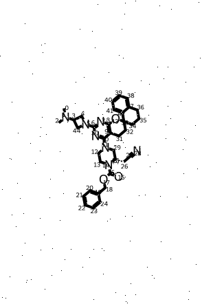 CN(C)C1CN(c2nc3c(c(N4CCN(C(=O)OCc5ccccc5)[C@@H](CC#N)C4)n2)CCC2(CCCc4ccccc42)O3)C1